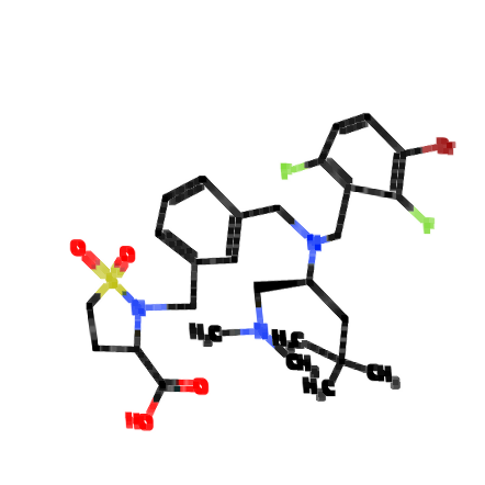 CN(C)C[C@H](CC(C)(C)C)N(Cc1cccc(CN2C(C(=O)O)CCS2(=O)=O)c1)Cc1c(F)ccc(Br)c1F